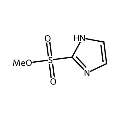 COS(=O)(=O)c1ncc[nH]1